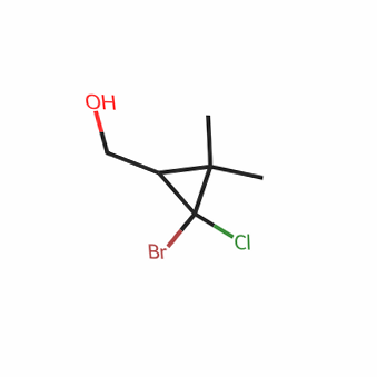 CC1(C)C(CO)C1(Cl)Br